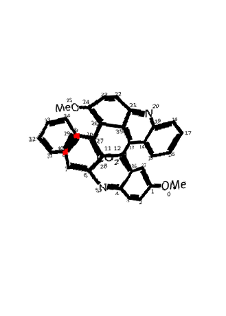 COc1ccc2nc3ccccc3c(-c3c4ccccc4nc4ccc(OC)c(C(C(=O)O)c5ccccc5)c34)c2c1